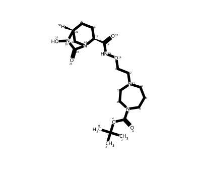 CC(C)(C)OC(=O)N1CCCN(CCONC(=O)[C@@H]2CC[C@@H]3CN2C(=O)N3O)CC1